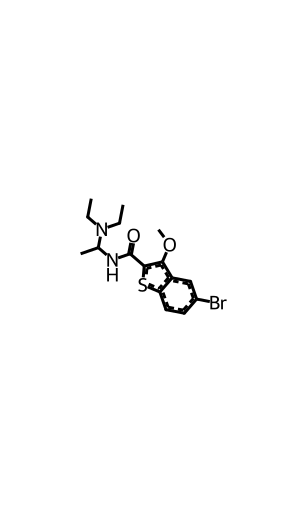 CCN(CC)C(C)NC(=O)c1sc2ccc(Br)cc2c1OC